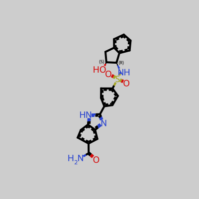 NC(=O)c1ccc2[nH]c(-c3ccc(S(=O)(=O)N[C@@H]4c5ccccc5C[C@@H]4O)cc3)nc2c1